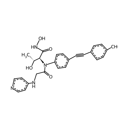 [CH]c1ccc(C#Cc2ccc(N(C(=O)CNc3ccncc3)[C@H](C(=O)NO)[C@@H](C)O)cc2)cc1